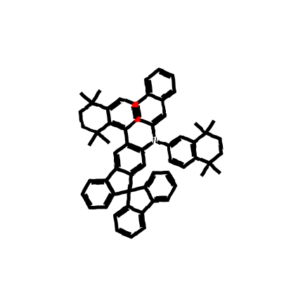 CC1(C)CCC(C)(C)c2cc(N(c3ccc4ccccc4c3)c3cc4c(cc3-c3cccc5c3C(C)(C)CCC5(C)C)-c3ccccc3C43c4ccccc4-c4ccccc43)ccc21